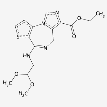 CCOC(=O)c1ncn2c1CN=C(NCC(OC)OC)c1sccc1-2